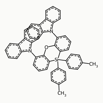 Cc1ccc([Si]2(c3ccc(C)cc3)c3cccc(-n4c5ccccc5c5ccccc54)c3Oc3c(-n4c5ccccc5c5ccccc54)cccc32)cc1